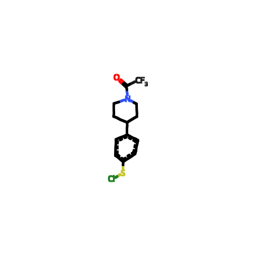 O=C(N1CCC(c2ccc(SCl)cc2)CC1)C(F)(F)F